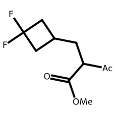 COC(=O)C(CC1CC(F)(F)C1)C(C)=O